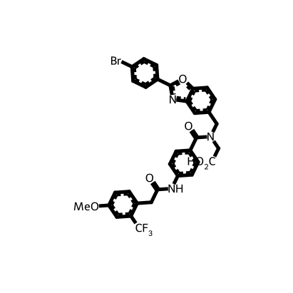 COc1ccc(CC(=O)Nc2ccc(C(=O)N(CC(=O)O)Cc3ccc4oc(-c5ccc(Br)cc5)nc4c3)cc2)c(C(F)(F)F)c1